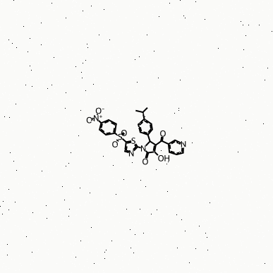 CC(C)c1ccc(C2C(C(=O)c3cccnc3)=C(O)C(=O)N2c2ncc(S(=O)(=O)c3ccc([N+](=O)[O-])cc3)s2)cc1